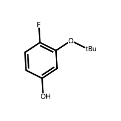 CC(C)(C)Oc1cc(O)ccc1F